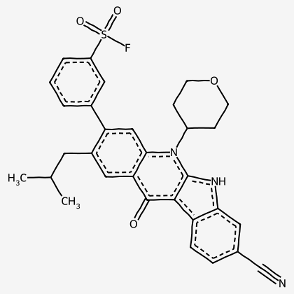 CC(C)Cc1cc2c(=O)c3c4ccc(C#N)cc4[nH]c3n(C3CCOCC3)c2cc1-c1cccc(S(=O)(=O)F)c1